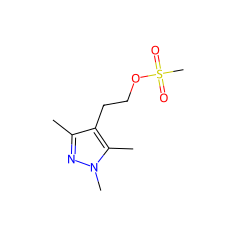 Cc1nn(C)c(C)c1CCOS(C)(=O)=O